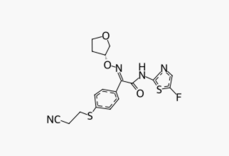 N#CCCSc1ccc(/C(=N\O[C@@H]2CCOC2)C(=O)Nc2ncc(F)s2)cc1